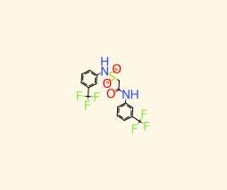 O=C(CS(=O)(=O)Nc1cccc(C(F)(F)F)c1)Nc1cccc(C(F)(F)F)c1